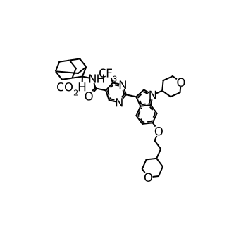 O=C(NC1(C(=O)O)C2CC3CC(C2)CC1C3)c1cnc(-c2cn(C3CCOCC3)c3cc(OCCC4CCOCC4)ccc23)nc1C(F)(F)F